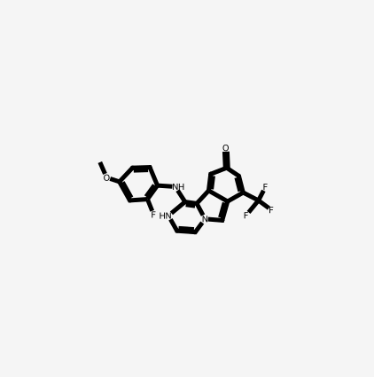 COc1ccc(Nc2[nH]ccn3cc4c(C(F)(F)F)cc(=O)cc4c23)c(F)c1